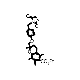 CCOC(=O)c1c(C)c(C)c2c(c1C)CCC(C)(COc1ccc(CN3C(=O)CSC3=O)cc1)O2